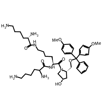 COc1ccc(C(OC[C@@H]2C[C@@H](O)CN2C(=O)[C@H](CCCCNC(=O)[C@@H](N)CCCCN)NC(=O)C(N)CCCCN)(c2ccccc2)c2ccc(OC)cc2)cc1